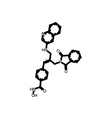 O=C(NO)c1ccc(/C=C(/CNc2cnc3ccccc3c2)CN2C(=O)c3ccccc3C2=O)cc1